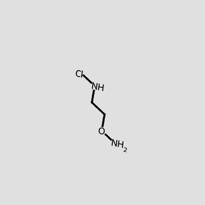 NOCCNCl